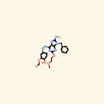 COCCOc1nc(/N=N\c2ccc(O)c(OC=O)c2)c2nc(N)n(Cc3ccccc3)c2n1